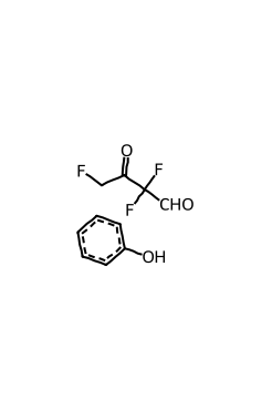 O=CC(F)(F)C(=O)CF.Oc1ccccc1